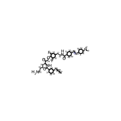 CN(C)c1ccc(/N=N/c2ccc(C(=O)NCCc3cc(F)c(OCC(=O)[C@H](CCCCN)NC(=O)c4cccc(N=[N+]=[N-])c4)c(F)c3)cc2)cc1